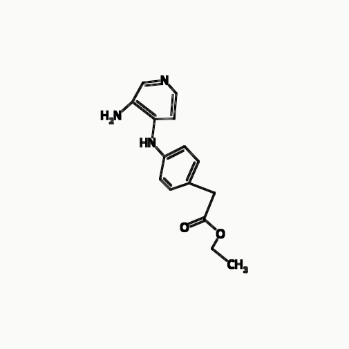 CCOC(=O)Cc1ccc(Nc2ccncc2N)cc1